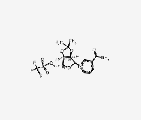 CC1(C)O[C@@H]2[C@@H](COS(=O)(=O)C(F)(F)F)OC([n+]3cccc(C(N)=O)c3)[C@@H]2O1